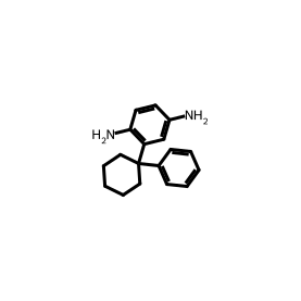 Nc1ccc(N)c(C2(c3ccccc3)CCCCC2)c1